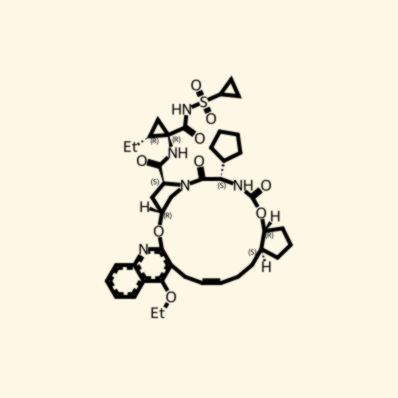 CCOc1c2c(nc3ccccc13)O[C@@H]1C[C@@H](C(=O)N[C@]3(C(=O)NS(=O)(=O)C4CC4)C[C@H]3CC)N(C1)C(=O)[C@H](C1CCCC1)NC(=O)O[C@@H]1CCC[C@H]1CCC=CC2